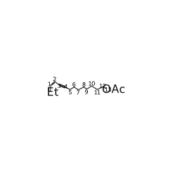 CC/C=C\C#CCCCCCCCCOC(C)=O